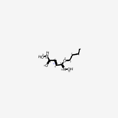 CCCCOC(/C=C/C(=O)NO)=NO